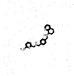 Bc1cccc(CNCc2ccc(CNC3CCCc4cccnc43)cc2)n1